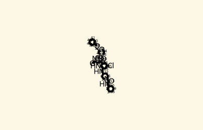 NC(=O)c1[nH]c2c(NC3CCN(C(=O)NC4CCCCC4)CC3)cc(Cl)cc2c1S(=O)(=O)N1CCO[C@H](COc2ccccc2)C1